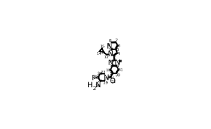 Cn1c(-c2cc3cccnc3n2CC2CC2)nc2cc(C(=O)N3CC[C@@H](F)[C@H](N)C3)ccc21